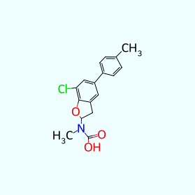 Cc1ccc(-c2cc(Cl)c3c(c2)CC(N(C)C(=O)O)O3)cc1